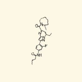 CCCC(=O)Nc1ccc(-c2cc3nc(C(=O)N4CCCCCC4C)cc(CC)n3n2)c(F)c1